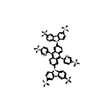 C[Si](C)(C)c1ccc(-c2c3ccc(-n4c5ccc([Si](C)(C)C)cc5c5cc([Si](C)(C)C)ccc54)cc3c(-c3ccc([Si](C)(C)C)cn3)c3ccc(-n4c5ccc([Si](C)(C)C)cc5c5cc([Si](C)(C)C)ccc54)cc23)nc1